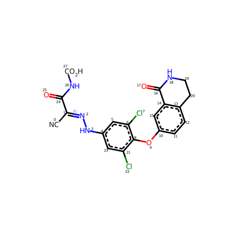 N#C/C(=N\Nc1cc(Cl)c(Oc2ccc3c(c2)C(=O)NCC3)c(Cl)c1)C(=O)NC(=O)O